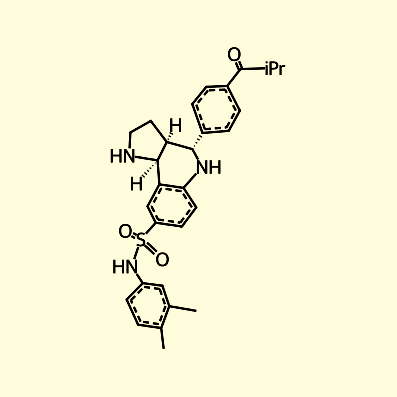 Cc1ccc(NS(=O)(=O)c2ccc3c(c2)[C@H]2NCC[C@H]2[C@H](c2ccc(C(=O)C(C)C)cc2)N3)cc1C